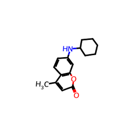 Cc1cc(=O)oc2cc(NC3CCCCC3)ccc12